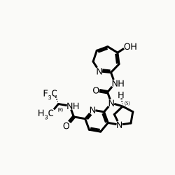 C[C@@H](NC(=O)c1ccc2c(n1)N(C(=O)NC1=NCC=CC(O)=C1)[C@H]1CCN2C1)C(F)(F)F